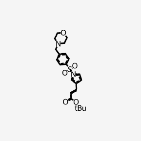 CC(C)(C)OC(=O)C=Cc1ccn(S(=O)(=O)c2ccc(CN3CCOCC3)cc2)c1